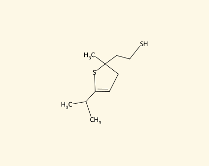 CC(C)C1=CCC(C)(CCS)S1